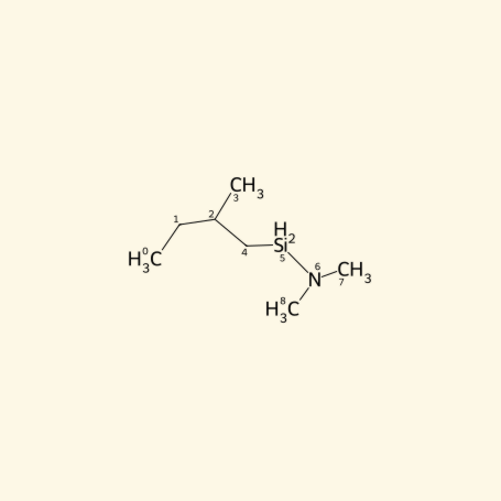 CCC(C)C[SiH2]N(C)C